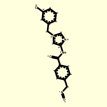 O=NCc1ccc(C(=O)Nc2cn(Cc3cccc(Cl)c3)cn2)cc1